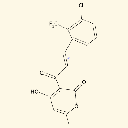 Cc1cc(O)c(C(=O)/C=C/c2cccc(Cl)c2C(F)(F)F)c(=O)o1